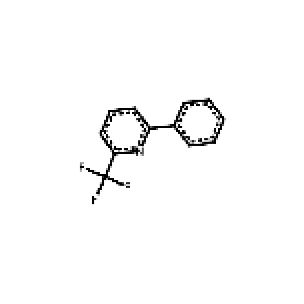 FC(F)(F)c1cccc(-c2ccccc2)n1